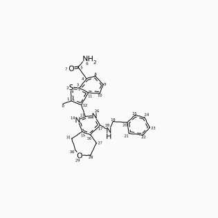 Cc1sc2c(C(N)=O)cccc2c1-c1nc2c(c(NCc3ccccc3)n1)CCOCC2